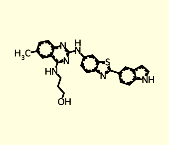 Cc1ccc2nc(Nc3ccc4nc(-c5ccc6[nH]ccc6c5)sc4c3)nc(NCCCO)c2c1